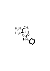 CC(N)C(C)(C)OC(=O)Nc1ccccc1